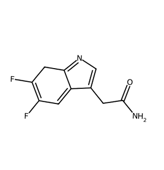 NC(=O)CC1=CN=C2CC(F)=C(F)C=C12